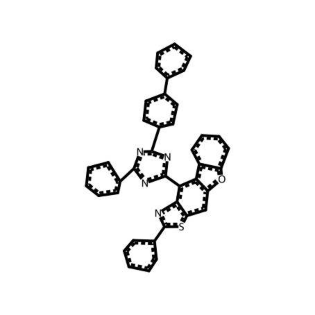 c1ccc(-c2ccc(-c3nc(-c4ccccc4)nc(-c4c5nc(-c6ccccc6)sc5cc5oc6ccccc6c45)n3)cc2)cc1